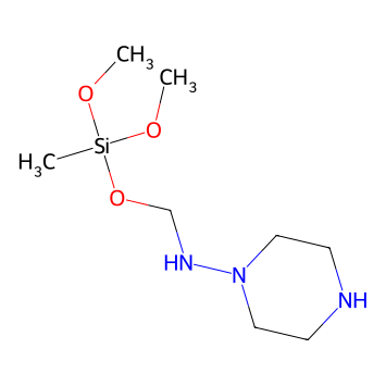 CO[Si](C)(OC)OCNN1CCNCC1